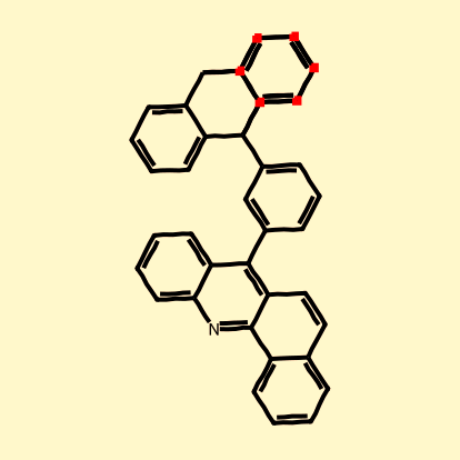 c1cc(-c2c3ccccc3nc3c2ccc2ccccc23)cc(C23c4ccccc4C(c4ccccc42)c2ccccc23)c1